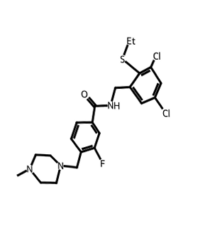 CCSc1c(Cl)cc(Cl)cc1CNC(=O)c1ccc(CN2CCN(C)CC2)c(F)c1